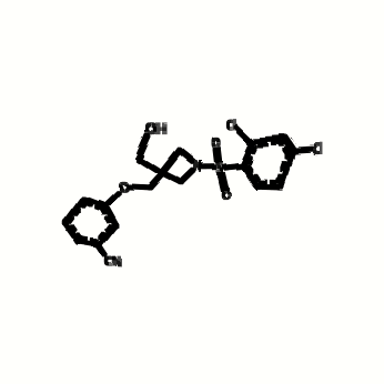 N#Cc1cccc(OCC2(CO)CN(S(=O)(=O)c3ccc(Cl)cc3Cl)C2)c1